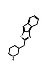 C1=CCC2=c3nc(CC4CCCNC4)sc3=CC2=C1